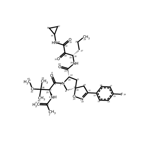 C=C(C)N[C@H](C(=O)N1C[C@@]2(CC(c3ccc(F)cc3)=NO2)C[C@H]1C(=O)N[C@@H](CCC)C(=O)C(=O)NC1CC1)C(C)(C)OC